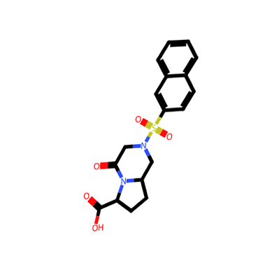 O=C(O)C1CCC2CN(S(=O)(=O)c3ccc4ccccc4c3)CC(=O)N21